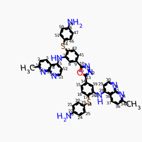 Cc1ccc2c(Nc3cc(-c4nnc(-c5ccc(Sc6ccc(N)cc6)c(Nc6ccnc7nc(C)ccc67)c5)o4)ccc3Sc3ccc(N)cc3)ccnc2n1